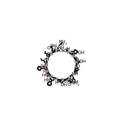 CCCC[C@H]1C(=O)N(C)[C@@H](CCCC)C(=O)N[C@@H](CCC(=O)O)C(=O)N[C@H](C(=O)NCC(N)=O)CSCC(=O)N[C@@H](Cc2ccc(O)cc2)C(=O)N(C)[C@@H](C)C(=O)N[C@@H](CC(=O)O)C(=O)N2CCC[C@H]2C(=O)N[C@@H](Cc2c[nH]cn2)C(=O)N[C@@H](CCC(N)=O)C(=O)N2C[C@H](O)C[C@H]2C(=O)N[C@@H](Cc2c[nH]c3ccccc23)C(=O)N[C@@H](CO)C(=O)N[C@@H](Cc2csc3ccccc23)C(=O)N1C